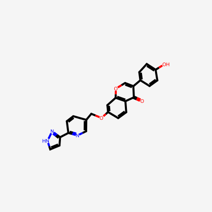 O=c1c(-c2ccc(O)cc2)coc2cc(OCc3ccc(-c4cc[nH]n4)nc3)ccc12